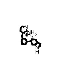 NC1N=CC=CC1(N)Cc1cccc(-c2ccc3cc[nH]c3c2)c1